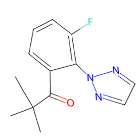 CC(C)(C)C(=O)c1cccc(F)c1-n1nccn1